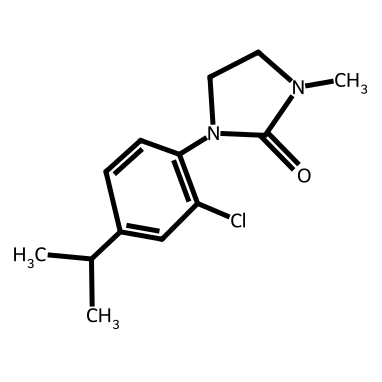 CC(C)c1ccc(N2CCN(C)C2=O)c(Cl)c1